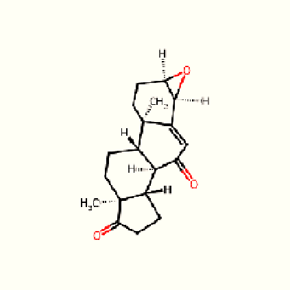 C[C@]12CC[C@H]3O[C@H]3C1=CC(=O)[C@@H]1[C@@H]2CC[C@]2(C)C(=O)CC[C@@H]12